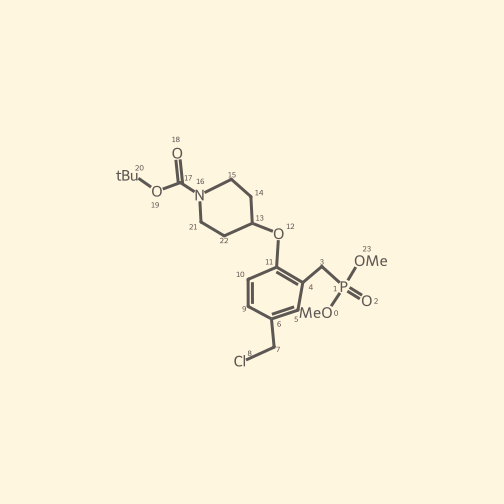 COP(=O)(Cc1cc(CCl)ccc1OC1CCN(C(=O)OC(C)(C)C)CC1)OC